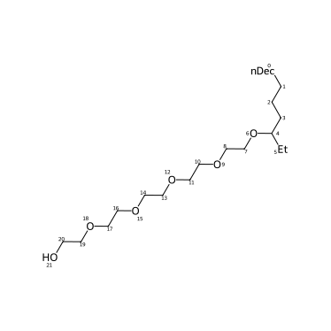 CCCCCCCCCCCCCC(CC)OCCOCCOCCOCCOCCO